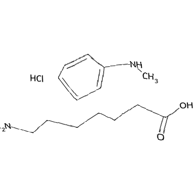 CNc1ccccc1.Cl.NCCCCCCC(=O)O